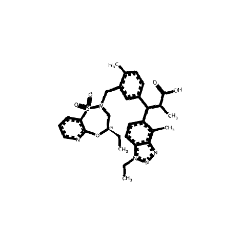 CC[C@@H]1CN(Cc2cc(C(c3ccc4c(nnn4CC)c3C)C(C)C(=O)O)ccc2C)S(=O)(=O)c2cccnc2O1